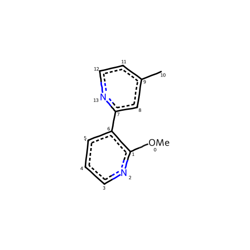 COc1ncc[c]c1-c1cc(C)ccn1